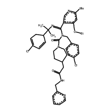 CCOc1cc(C(C)(C)C)ncc1/C(=N/C(C)(C)C1C=CC(Cl)=CC1)N(Cc1ccc(Cl)cc1)C(=O)N1CCC(CC(=O)NCc2ccccn2)CC1